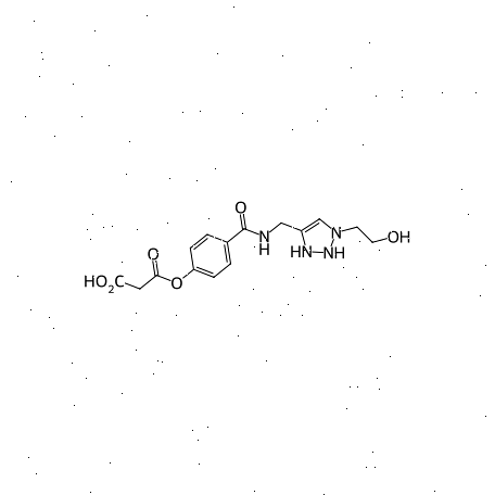 O=C(O)CC(=O)Oc1ccc(C(=O)NCC2=CN(CCO)NN2)cc1